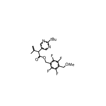 C=C(C)C(C(=O)OCc1c(F)c(F)c(COC)c(F)c1F)c1cnc(C(C)(C)C)nc1